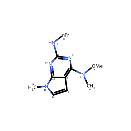 CCCNc1nc(N(C)OC)c2ccn(C)c2n1